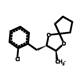 [CH2][C@@H]1OC2(CCCC2)O[C@H]1Cc1ccccc1Cl